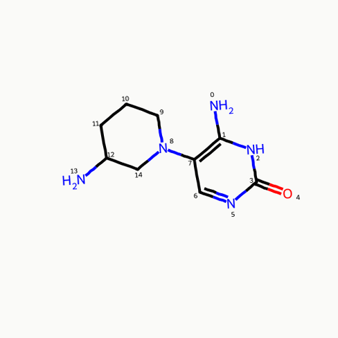 Nc1[nH]c(=O)ncc1N1CCCC(N)C1